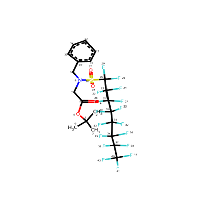 CC(C)(C)OC(=O)CN(Cc1ccccc1)S(=O)(=O)C(F)(F)C(F)(F)C(F)(F)C(F)(F)C(F)(F)C(F)(F)C(F)(F)C(F)(F)F